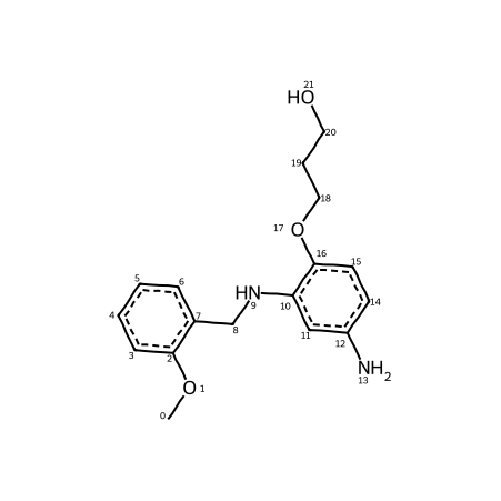 COc1ccccc1CNc1cc(N)ccc1OCCCO